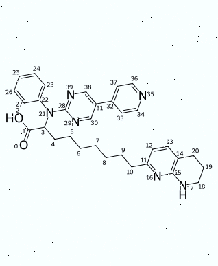 O=C(O)C(CCCCCCCc1ccc2c(n1)NCCC2)N(c1ccccc1)c1ncc(-c2ccncc2)cn1